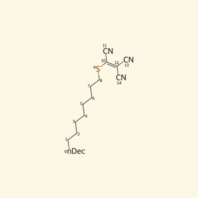 CCCCCCCCCCCCCCCCCCSC(C#N)=C(C#N)C#N